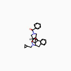 O=C(c1ccccc1)N1C[C@H]2CC34CCC1C2C31CCN(CC2CC2)C4Cc2ccccc21